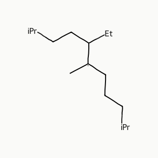 CCC(CCC(C)C)[C](C)CCCC(C)C